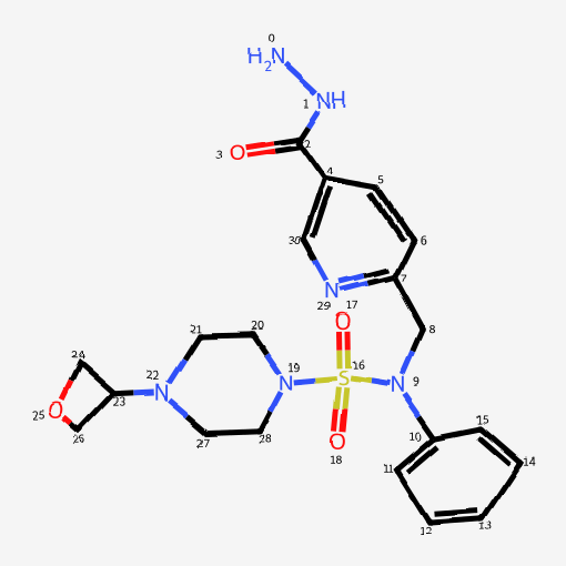 NNC(=O)c1ccc(CN(c2ccccc2)S(=O)(=O)N2CCN(C3COC3)CC2)nc1